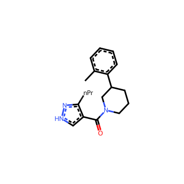 CCCc1n[nH]cc1C(=O)N1CCCC(c2ccccc2C)C1